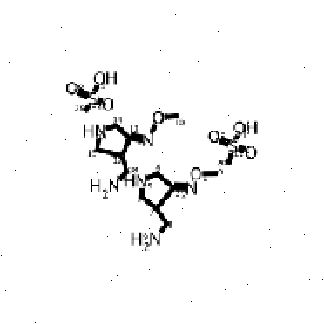 CO/N=C1\CNCC1CN.CO/N=C1\CNCC1CN.CS(=O)(=O)O.CS(=O)(=O)O